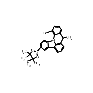 CC(C)c1cccc2c1-n1c3ccc(B4OC(C)(C)C(C)(C)O4)cc3c3cccc(c31)C2C